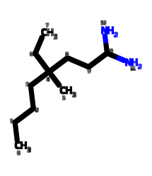 CCCCC(C)(CC)CCC(N)N